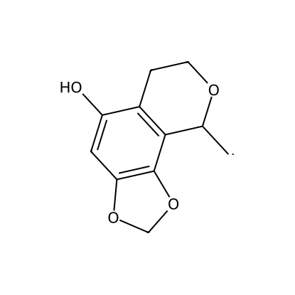 [CH2]C1OCCc2c(O)cc3c(c21)OCO3